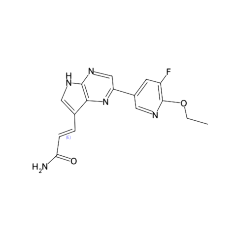 CCOc1ncc(-c2cnc3[nH]cc(/C=C/C(N)=O)c3n2)cc1F